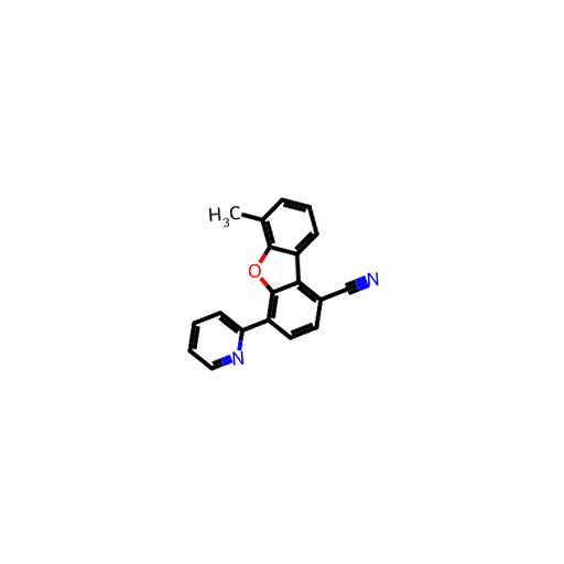 Cc1cccc2c1oc1c(-c3ccccn3)ccc(C#N)c12